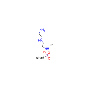 CCCCCP(=O)([O-])ONCCNCCN.[K+]